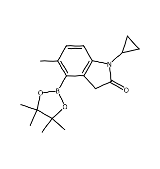 Cc1ccc2c(c1B1OC(C)(C)C(C)(C)O1)CC(=O)N2C1CC1